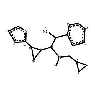 CN(CC1CC1)C(C(C#N)c1ccccc1)C1CC1c1cccs1